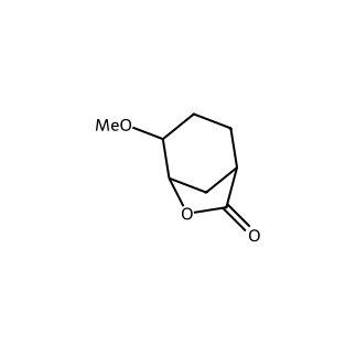 COC1CCC2CC1OC2=O